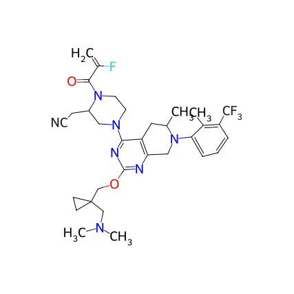 C=C(F)C(=O)N1CCN(c2nc(OCC3(CN(C)C)CC3)nc3c2CC(C)N(c2cccc(C(F)(F)F)c2C)C3)CC1CC#N